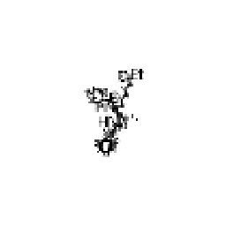 CCC(=O)CCCCC[C@H](NC(=O)C1CCN(C)CC1)C1=[N+]C=C(c2nc3ccccc3s2)N1